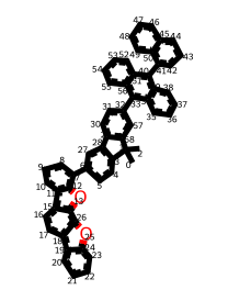 CC1(C)c2ccc(-c3cccc4c3oc3c4ccc4c5ccccc5oc43)cc2-c2ccc(-c3c4ccccc4c(-c4cccc5ccccc45)c4ccccc34)cc21